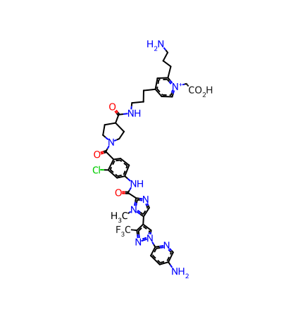 Cn1c(-c2cn(-c3ccc(N)cn3)nc2C(F)(F)F)cnc1C(=O)Nc1ccc(C(=O)N2CCC(C(=O)NCCCc3cc[n+](CC(=O)O)c(CCCN)c3)CC2)c(Cl)c1